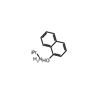 CC(C)N.Oc1cccc2ccccc12